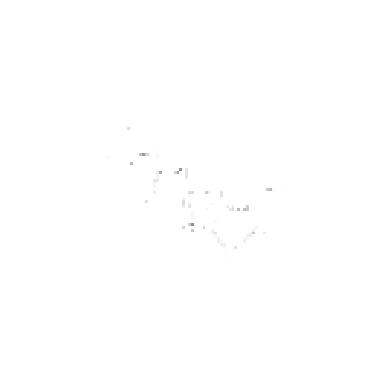 CC(C)(C)NC(=O)NC(=N)Nc1c([N+](=O)[O-])cccc1C(F)(F)F